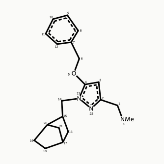 CNCc1cc(OCc2ccccc2)n(CC2CC3CCC2C3)n1